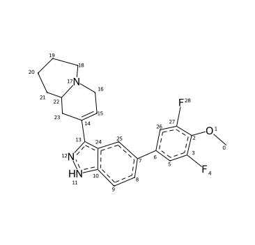 COc1c(F)cc(-c2ccc3[nH]nc(C4=CCN5CCCCC5C4)c3c2)cc1F